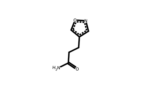 NC(=O)CCc1cnoc1